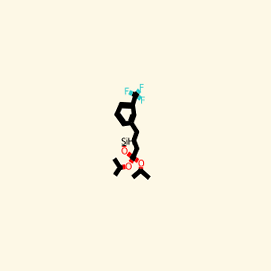 CC(C)OC(CCCc1cccc(C(F)(F)F)c1)(O[SiH3])OC(C)C